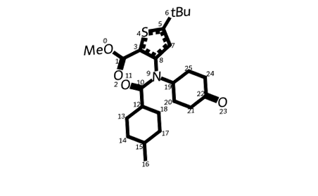 COC(=O)c1sc(C(C)(C)C)cc1N(C(=O)C1CCC(C)CC1)C1CCC(=O)CC1